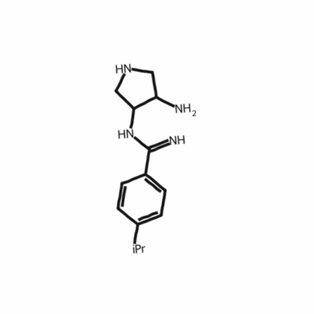 CC(C)c1ccc(C(=N)NC2CNCC2N)cc1